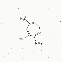 CNC1=CCC=C(C)C=C1C#N